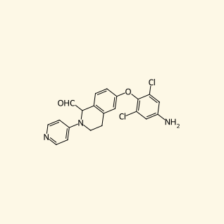 Nc1cc(Cl)c(Oc2ccc3c(c2)CCN(c2ccncc2)C3C=O)c(Cl)c1